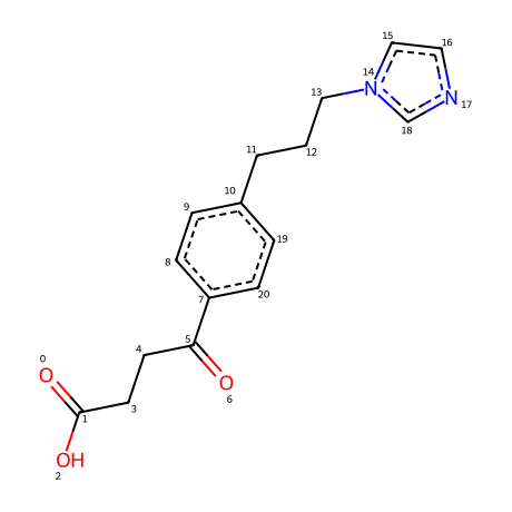 O=C(O)CCC(=O)c1ccc(CCCn2ccnc2)cc1